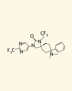 CN(C)[C@]1(c2ccccc2)CC[C@@]2(CC1)CN(c1cnc(C(F)(F)F)nc1)C(=O)N2CC(F)(F)F